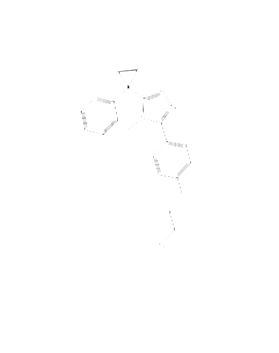 Cn1c(-c2ccc(OCCN)cc2Cl)nnc1C1(c2ccccc2)CC1